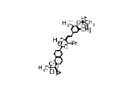 CCC(C)(C)Oc1c(C)cc(C/C=C(/C)C(OC(=O)C2=CCC3CC(C(=C4CC4)C(C)(C)CC)CCC3C2)C(C)C)cc1C